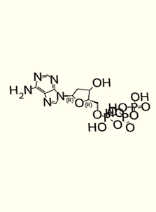 Nc1ncnc2c1ncn2[C@H]1CC(O)[C@@H](COP(=O)(O)OP(=O)(O)OP(=O)(O)O)O1